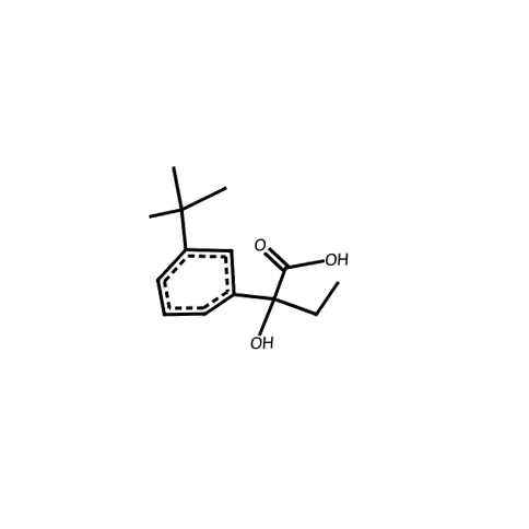 CCC(O)(C(=O)O)c1cccc(C(C)(C)C)c1